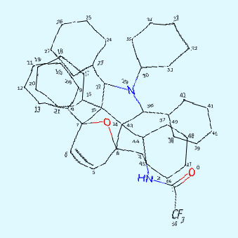 O=C(NCC12C=CC(C3CCCCC3)(O1)C1(C3CCCCC3)C(C3CCCCC3)N(C3CCCCC3)C(C3CCCCC3)C21C1CCCCC1)C(F)(F)F